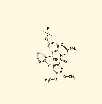 COc1ccc(S(=O)(=O)N(CC(N)=O)c2ccc(OC(F)(F)F)cc2C(O)c2ccccc2Cl)cc1OC